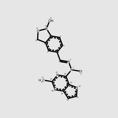 CCN(/N=C/c1ccc2c(c1)COB2O)c1nc(C)nc2ccsc12